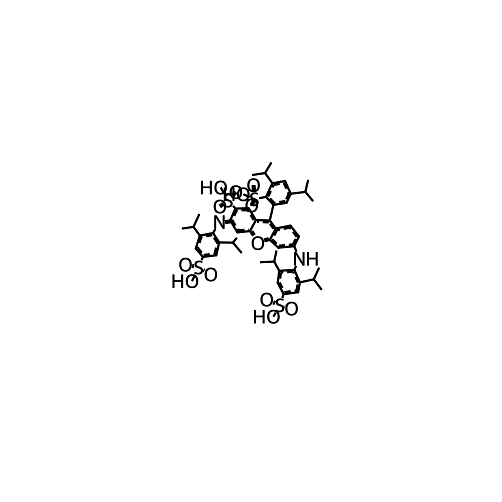 CC(C)c1cc(-c2c3cc(S(=O)(=O)O)/c(=N/c4c(C(C)C)cc(S(=O)(=O)O)cc4C(C)C)cc-3oc3cc(Nc4c(C(C)C)cc(S(=O)(=O)O)cc4C(C)C)ccc23)c(S(=O)(=O)O)c(C(C)C)c1